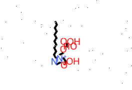 CCCCCCCCCCCC1=NCC[N+]1(CCOCC(=O)O)CC(=O)O.[OH-]